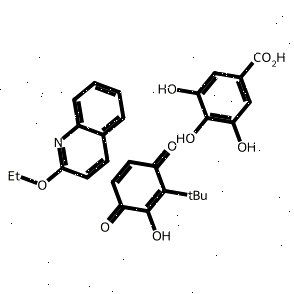 CC(C)(C)C1=C(O)C(=O)C=CC1=O.CCOc1ccc2ccccc2n1.O=C(O)c1cc(O)c(O)c(O)c1